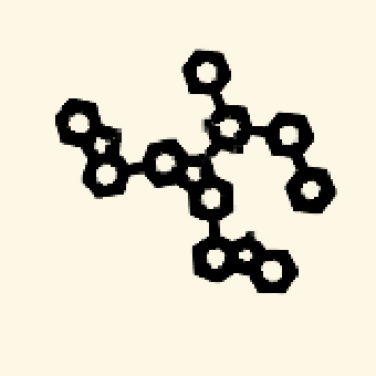 c1ccc(-c2cccc(-c3cc(-c4ccccc4)nc(-n4c5ccc(-c6cccc7c6sc6ccccc67)cc5c5cc(-c6cccc7c6sc6ccccc67)ccc54)n3)c2)cc1